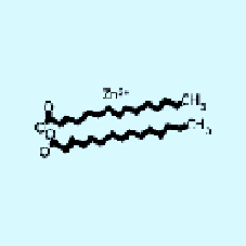 CCCCCCCCCCCCC=CC(=O)[O-].CCCCCCCCCCCCC=CC(=O)[O-].[Zn+2]